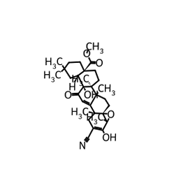 COC(=O)[C@]12CCC(C)(C)C[C@H]1[C@@]1(O)C(=O)C=C3[C@@](C)(CC[C@@]45O[C@]4(C)C(O)=C(C#N)C[C@]35C)[C@]1(C)CC2